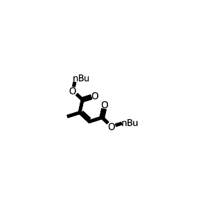 CCCCOC(=O)/C=C(/C)C(=O)OCCCC